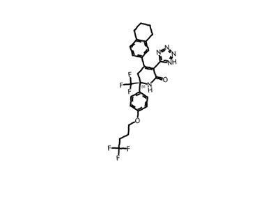 O=C1N[C@@](c2ccc(OCCCC(F)(F)F)cc2)(C(F)(F)F)CC(c2ccc3c(c2)CCCC3)=C1c1nnn[nH]1